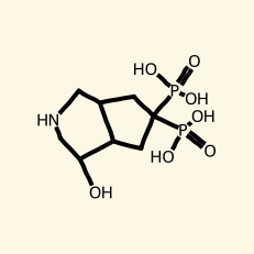 O=P(O)(O)C1(P(=O)(O)O)CC2CNCC(O)C2C1